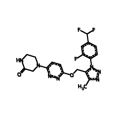 Cc1nnn(-c2ccc(C(F)F)cc2F)c1COc1ccc(N2CCNC(=O)C2)nn1